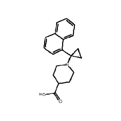 O=C(O)C1CCN(C2(c3cccc4ccccc34)CC2)CC1